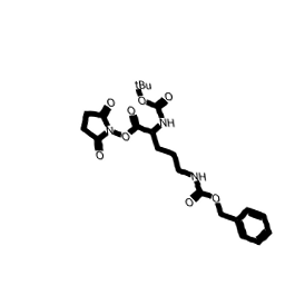 CC(C)(C)OC(=O)NC(CCCNC(=O)OCc1ccccc1)C(=O)ON1C(=O)CCC1=O